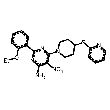 CCOc1ccccc1-c1nc(N)c([N+](=O)[O-])c(N2CCC(Sc3ccccn3)CC2)n1